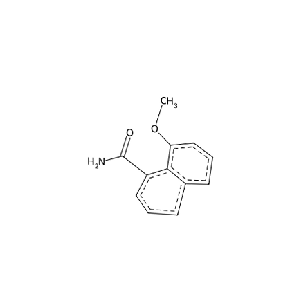 COc1cccc2cccc(C(N)=O)c12